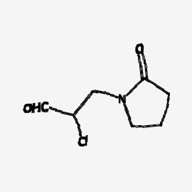 O=CC(Cl)CN1CCCC1=O